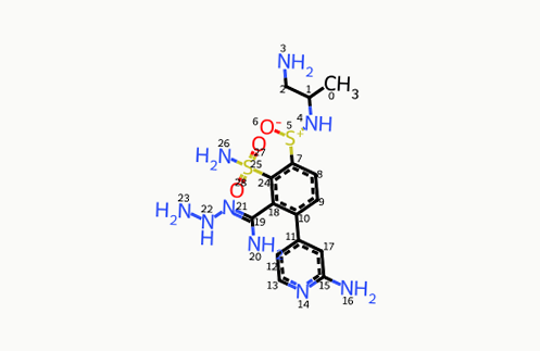 CC(CN)N[S+]([O-])c1ccc(-c2ccnc(N)c2)c(/C(N)=N/NN)c1S(N)(=O)=O